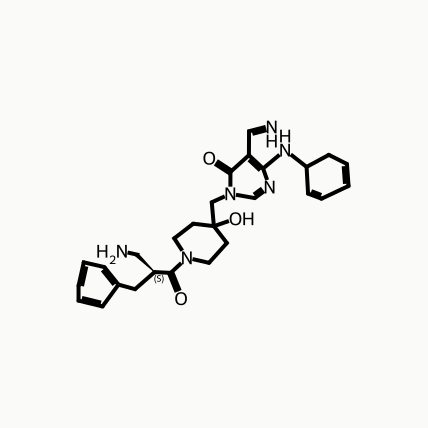 N=Cc1c(NC2C=CC=CC2)ncn(CC2(O)CCN(C(=O)[C@H](CN)Cc3ccccc3)CC2)c1=O